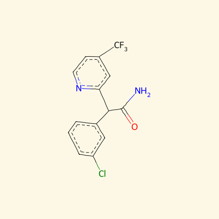 NC(=O)C(c1cccc(Cl)c1)c1cc(C(F)(F)F)ccn1